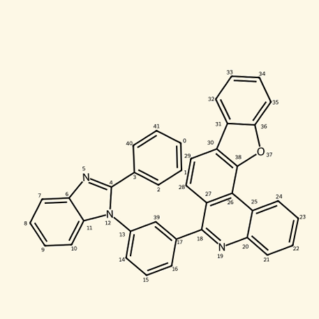 c1ccc(-c2nc3ccccc3n2-c2cccc(-c3nc4ccccc4c4c3ccc3c5ccccc5oc34)c2)cc1